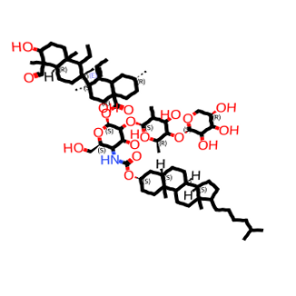 C/C=C1\C2C[C@H](C)CCC2(C(=O)O[C@@H]2O[C@H](CO)C(NC(=O)O[C@H]3CCC4(C)C5CCC6(C)C(CCCCC(C)C)CC[C@H]6[C@@H]5CC[C@H]4C3)C(O)C2O[C@@H]2O[C@H](C)C(O[C@@H]3OC[C@@H](O)C(O)C3O)C(O)C2C)[C@H](O)C[C@@]1(C)[C@]1(C)CC[C@H]2C(C)(C=O)C(O)CCC2(C)C1CC